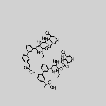 CCn1nc(-c2cccc(-c3cccc(C(C)C(=O)O)c3)c2)cc(NC(=O)Nc2c(Cl)cncc2Cl)c1=O.CCn1nc(-c2cccc(-c3cccc(CC(=O)O)c3)c2)cc(NC(=O)Nc2c(Cl)cncc2Cl)c1=O